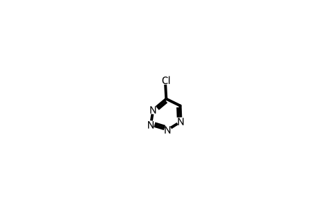 Clc1cnnnn1